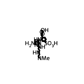 CNCCNCCNc1nc(N)nc(Nc2cc(S(=O)(=O)O)ccc2SOOO)n1